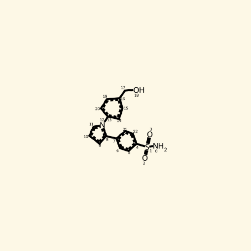 NS(=O)(=O)c1ccc(-c2cccn2-c2ccc(CO)cc2)cc1